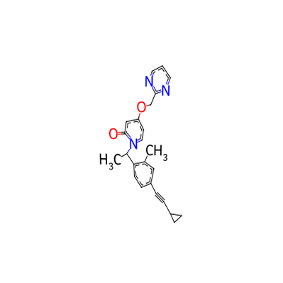 Cc1cc(C#CC2CC2)ccc1C(C)n1ccc(OCc2ncccn2)cc1=O